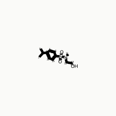 CC(C)c1ccc(S(=O)(=O)N(C)CCO)cc1